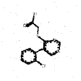 O=C(O)CSc1ncncc1-c1ccccc1Cl